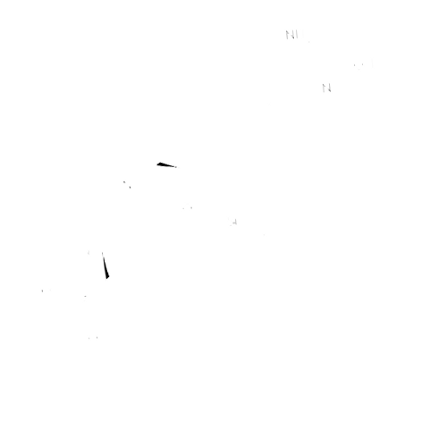 CCOC(=O)C[C@H]1CCCN(C[C@H](O[Si](C)(C)C(C)(C)C)c2ccc(/C(N)=N/O)cc2)C1